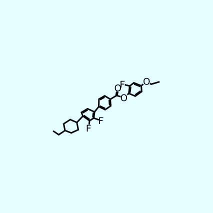 CCOc1ccc(OC(=O)c2ccc(-c3ccc(C4CCC(CC)CC4)c(F)c3F)cc2)c(F)c1